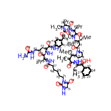 CC[C@H](C)[C@@H]([C@@H](CC(=O)N1CCC[C@H]1[C@H](OC)[C@@H](C)C(=O)N[C@H](C)[C@@H](O)c1ccccc1)OC)N(C)C(=O)[C@@H](NC(=O)[C@H](C(C)C)N(C)C(=O)OCc1ccc(NC(=O)[C@H](CCCNC(N)=O)NC(=O)[C@@H](NC(=O)CCCCCN2C(=O)CNC2=O)C(C)C)cc1)C(C)C